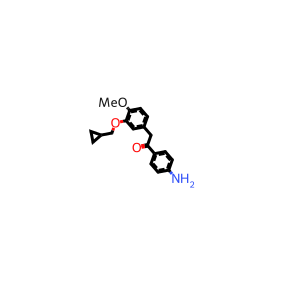 COc1ccc(CC(=O)c2ccc(N)cc2)cc1OCC1CC1